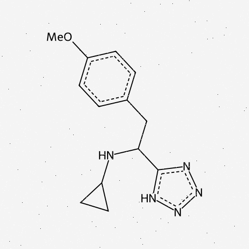 COc1ccc(CC(NC2CC2)c2nnn[nH]2)cc1